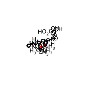 C=C(C)N(CC12CC3(C)CC(OCCNC(=O)OO[C@H]4C[C@@H](O)[C@H](O)[C@@H](C(=O)O)O4)(CC1(C)C3)C2)N(C)C(C)[C@H](C)N1CCc2c(C#N)ccc(C(=O)Nc3nc4ccccc4s3)c2C1